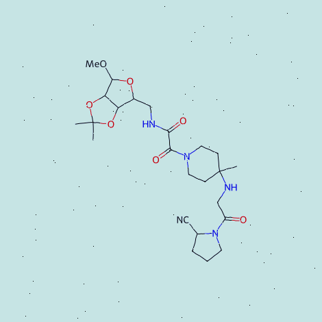 COC1OC(CNC(=O)C(=O)N2CCC(C)(NCC(=O)N3CCCC3C#N)CC2)C2OC(C)(C)OC12